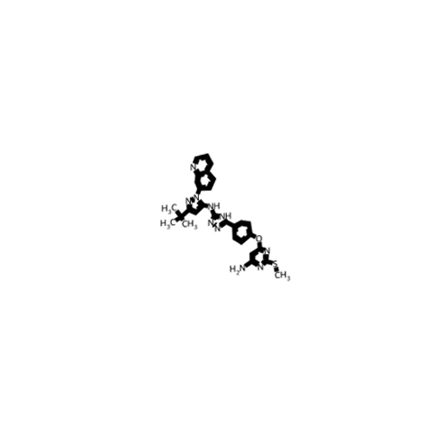 CSc1nc(N)cc(Oc2ccc(-c3nnc(Nc4cc(C(C)(C)C)nn4-c4ccc5cccnc5c4)[nH]3)cc2)n1